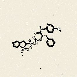 COc1ccc(N(C)C(=O)[C@H](Cc2ccccc2)NC(=O)NS(=O)(=O)C2Cc3ccccc3S2(=O)=O)cc1